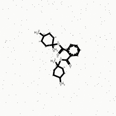 CC1CCC(C)(OC(=O)c2ccccc2C(=O)OC2(C)CCC(C)CC2)CC1